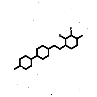 CC1CCC(C2CCC(COC3CCC(C)C(F)C3F)CC2)CC1